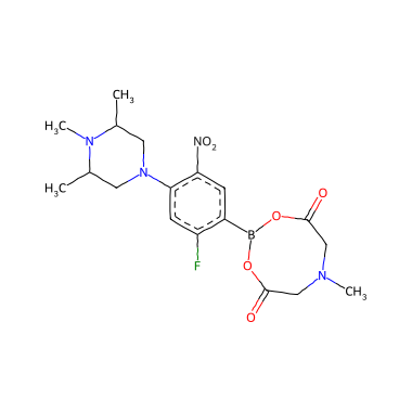 CC1CN(c2cc(F)c(B3OC(=O)CN(C)CC(=O)O3)cc2[N+](=O)[O-])CC(C)N1C